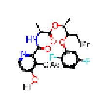 CCOc1ccnc(C(=O)N[C@@H](C)C(=O)O[C@@H](C)[C@@H](CC(C)C)Oc2cc(F)ccc2F)c1OC(C)=O